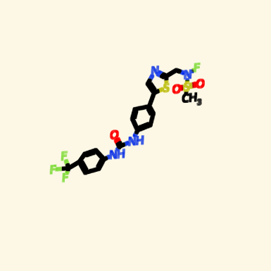 CS(=O)(=O)N(F)Cc1ncc(-c2ccc(NC(=O)Nc3ccc(C(F)(F)F)cc3)cc2)s1